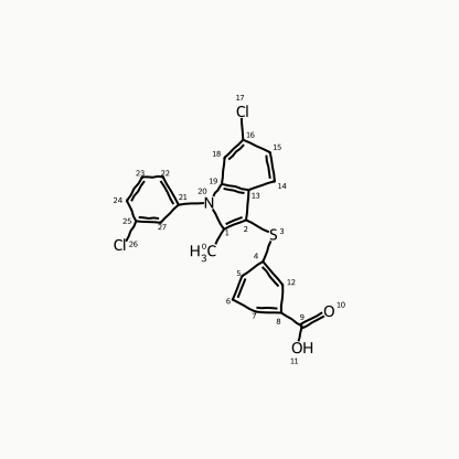 Cc1c(Sc2cccc(C(=O)O)c2)c2ccc(Cl)cc2n1-c1cccc(Cl)c1